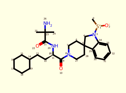 C[S+]([O-])N1CC2(CCN(C(=O)[C@@H](CCC3CCCCC3)NC(=O)C(C)(C)N)CC2)c2ccccc21